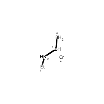 BBBCC.[Cr]